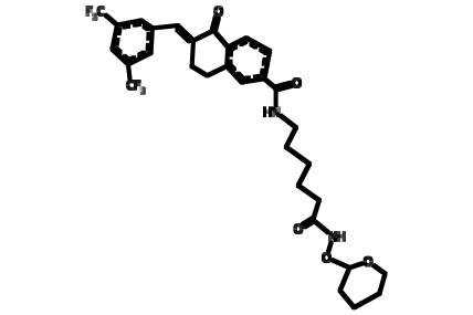 O=C(CCCCCNC(=O)c1ccc2c(c1)CC/C(=C\c1cc(C(F)(F)F)cc(C(F)(F)F)c1)C2=O)NOC1CCCCO1